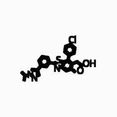 Cc1cc2nc(-c3cccc(-c4cnn(C(C)C)c4)c3)sc2c(-c2ccc(Cl)cc2)c1CC(=O)O